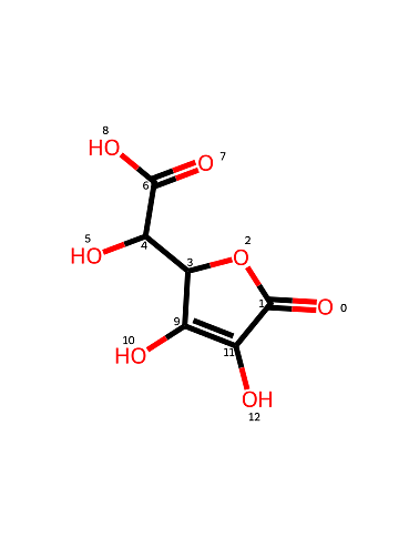 O=C1OC(C(O)C(=O)O)C(O)=C1O